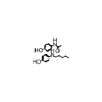 CC(=O)Nc1ccc(O)cc1.CCCCCNc1ccc(O)cc1